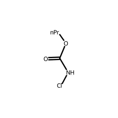 CCCOC(=O)NCl